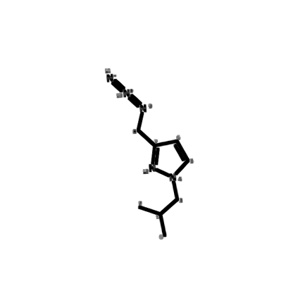 CC(C)Cn1ccc(CN=[N+]=[N-])n1